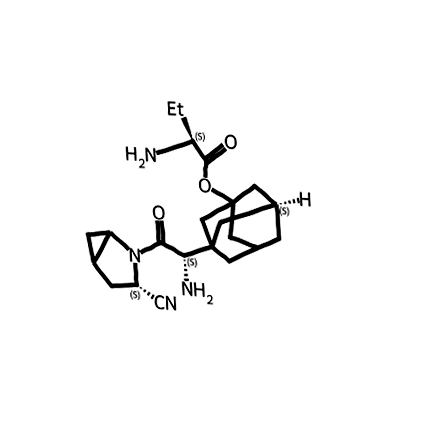 CC[C@H](N)C(=O)OC12CC3C[C@H](C1)CC([C@H](N)C(=O)N1C4CC4C[C@H]1C#N)(C3)C2